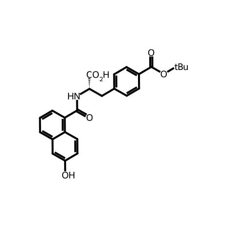 CC(C)(C)OC(=O)c1ccc(C[C@H](NC(=O)c2cccc3cc(O)ccc23)C(=O)O)cc1